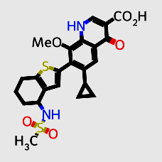 COc1c(-c2cc3c(s2)CCCC3NS(C)(=O)=O)c(C2CC2)cc2c(=O)c(C(=O)O)c[nH]c12